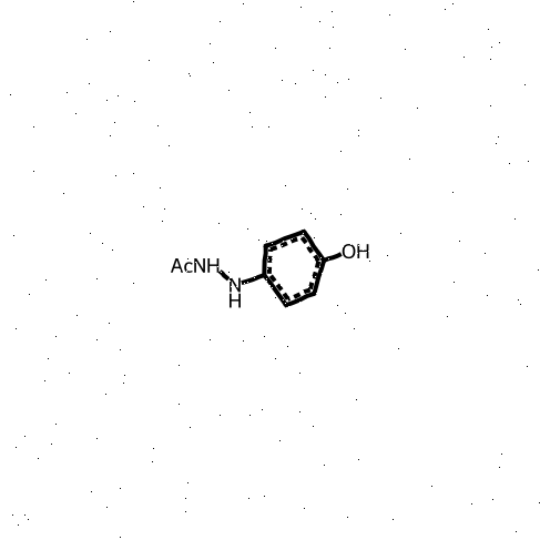 CC(=O)NNc1ccc(O)cc1